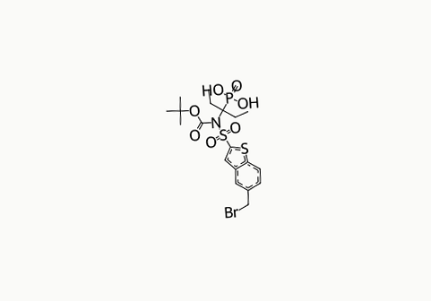 CCC(CC)(N(C(=O)OC(C)(C)C)S(=O)(=O)c1cc2cc(CBr)ccc2s1)P(=O)(O)O